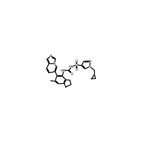 Cc1cc2c(c(NC(=O)NS(=O)(=O)c3cnn(CC4CC4)c3)c1-c1ccc3cncn3c1)CCC2